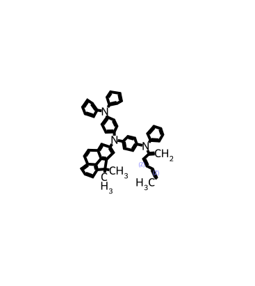 C=C(/C=C\C=C/C)N(c1ccccc1)c1ccc(N(c2ccc(N(c3ccccc3)c3ccccc3)cc2)c2cc3c4c(ccc5cccc(c54)C3(C)C)c2)cc1